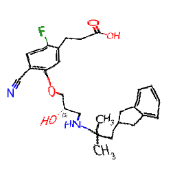 CC(C)(CC1Cc2ccccc2C1)NC[C@H](O)COc1cc(CCC(=O)O)c(F)cc1C#N